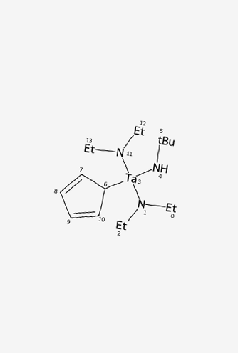 CC[N](CC)[Ta]([NH]C(C)(C)C)([CH]1C=CC=C1)[N](CC)CC